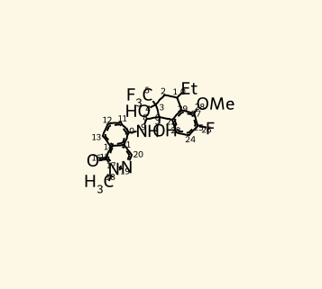 CCC1CC(O)(C(F)(F)F)C(O)(CNc2cccc3c(=O)n(C)ncc23)c2ccc(F)c(OC)c21